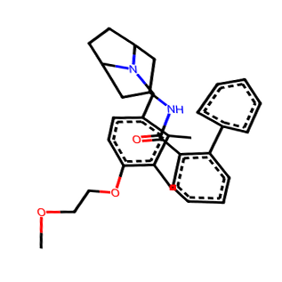 COCCOc1ccc(CN2C3CCC2CC(NC(=O)c2ccccc2-c2ccccc2)C3)c(C)c1C